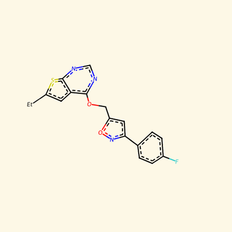 CCc1cc2c(OCc3cc(-c4ccc(F)cc4)no3)ncnc2s1